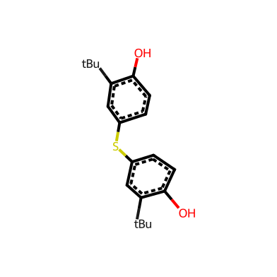 CC(C)(C)c1cc(Sc2ccc(O)c(C(C)(C)C)c2)ccc1O